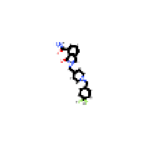 NC(=O)c1cccc2c1C(=O)N(CC1CCN(CC3CCC(F)(F)CC3)CC1)C2